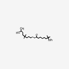 CCCC(C)(C)CCCCCC(=O)CCCCCC(C)(C)CCC(O)O